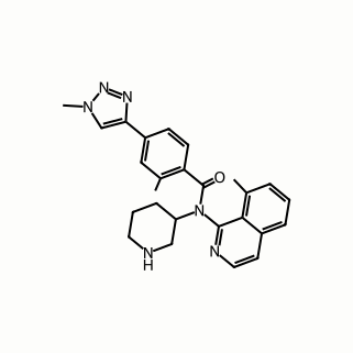 Cc1cc(-c2cn(C)nn2)ccc1C(=O)N(c1nccc2cccc(C)c12)C1CCCNC1